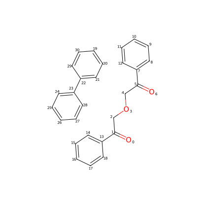 O=C(COCC(=O)c1ccccc1)c1ccccc1.c1ccc(-c2ccccc2)cc1